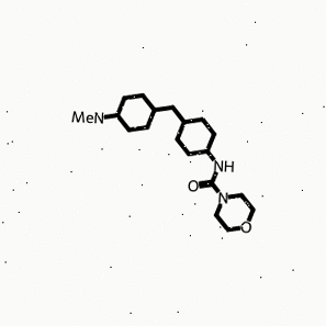 CNC1CCC(CC2CCC(NC(=O)N3CCOCC3)CC2)CC1